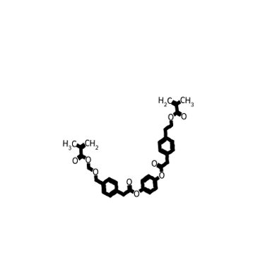 C=C(C)C(=O)OCCc1ccc(CC(=O)Oc2ccc(OC(=O)Cc3ccc(COCOC(=O)C(=C)C)cc3)cc2)cc1